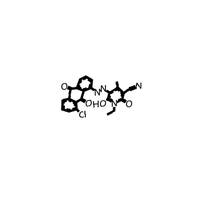 CCn1c(O)c(/N=N/c2cccc3c2C(=O)c2c(Cl)cccc2C3=O)c(C)c(C#N)c1=O